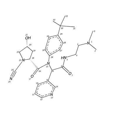 CN(C)CCNC(=O)C(c1cccnc1)N(C(=O)[C@H]1C[C@@H](O)CN1C#N)c1ccc(C(C)(C)C)cc1